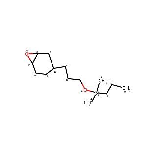 CCC[Si](C)(C)OCCCC1CCC2OC2C1